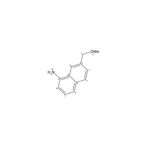 COCc1ccc2cccc(N)c2c1